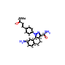 CNC(=O)/C=C/c1ccc(-n2nc(C(N)=O)c3c2-c2cc(N)ccc2CC3)cc1